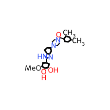 COc1cc(-c2nc3cc(N4CCN(C(=O)c5ccc(C)cc5C)CC4)ccc3[nH]2)cc(O)c1O